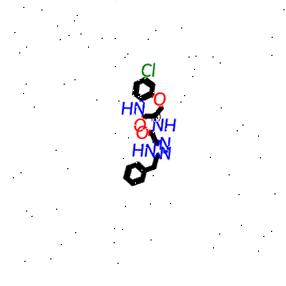 O=C(N[C@H]1COc2cc(Cl)ccc2NC1=O)c1nnc(Cc2ccccc2)[nH]1